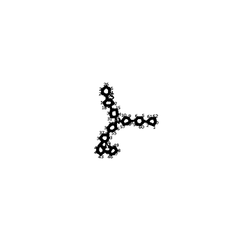 c1ccc(-c2ccc(-c3ccc(N(c4ccc(-c5ccc6c(c5)sc5ccccc56)cc4)c4ccc(-c5ccc6c7cccc8c9ccccc9n(c6c5)c87)cc4)cc3)cc2)cc1